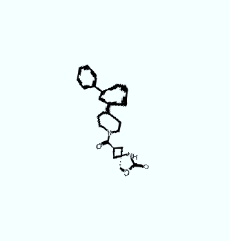 O=C1N[C@]2(CO1)C[C@H](C(=O)N1CCC(c3cccc(-c4ccccc4)c3)CC1)C2